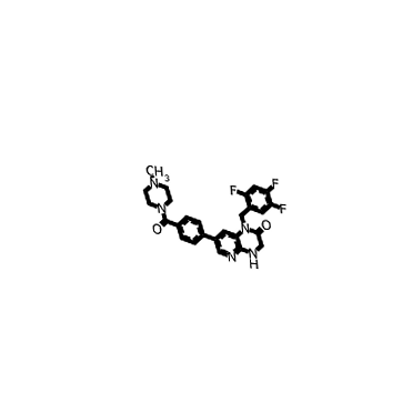 CN1CCN(C(=O)c2ccc(-c3cnc4c(c3)N(Cc3cc(F)c(F)cc3F)C(=O)CN4)cc2)CC1